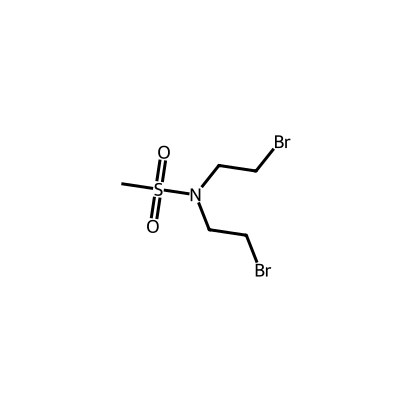 CS(=O)(=O)N(CCBr)CCBr